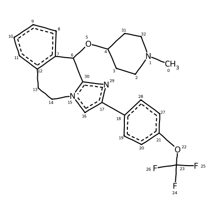 CN1CCC(OC2c3ccccc3CCn3cc(-c4ccc(OC(F)(F)F)cc4)nc32)CC1